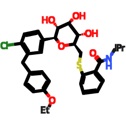 CCOc1ccc(Cc2cc([C@@H]3O[C@H](CSc4ccccc4C(=O)NC(C)C)[C@@H](O)[C@H](O)[C@H]3O)ccc2Cl)cc1